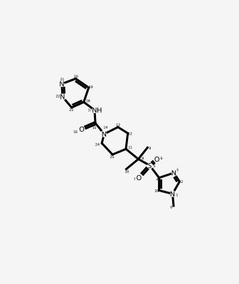 Cn1cnc(S(=O)(=O)C(C)(C)C2CCN(C(=O)Nc3ccnnc3)CC2)c1